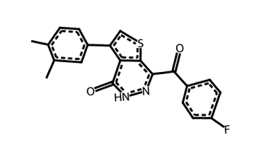 Cc1ccc(-c2csc3c(C(=O)c4ccc(F)cc4)n[nH]c(=O)c23)cc1C